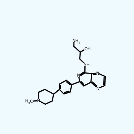 CN1CCC(c2ccc(-c3cc4nccnc4c(NCC(O)CN)n3)cc2)CC1